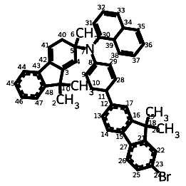 CC1(C)C2=CC(C)(N(C3=CCC(c4ccc5c(c4)C(C)(C)c4cc(Br)ccc4-5)C=C3)C3=CC=CC4C=CC=CC34)CC=C2c2ccccc21